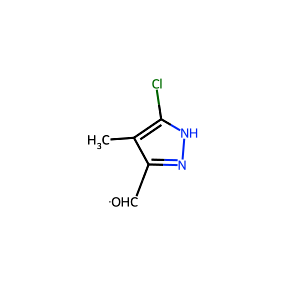 Cc1c([C]=O)n[nH]c1Cl